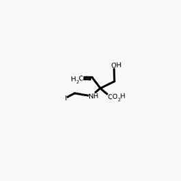 C=CC(CO)(NCI)C(=O)O